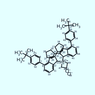 CC(C)(C)c1ccc(-c2cccc3c2C=C(C2CCCC2)[CH]3[Hf+2]2([CH]3C(C4CCCC4)=Cc4c(-c5ccc(C(C)(C)C)cc5)cccc43)[CH2]C[CH2]2)cc1.[Cl-].[Cl-]